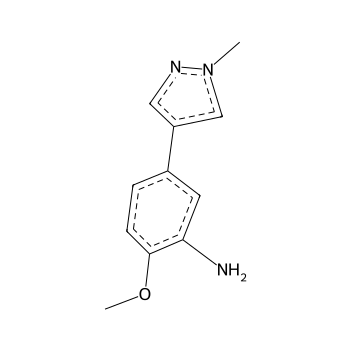 COc1ccc(-c2cnn(C)c2)cc1N